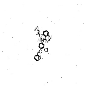 C[C@@H](CN(C)C)Oc1cccc2ncnc(Nc3ccc(OCc4ccccn4)c(Cl)c3)c12